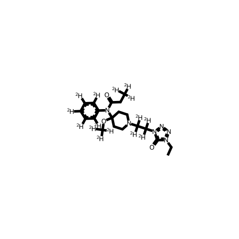 [2H]c1c([2H])c([2H])c(N(C(=O)CC([2H])([2H])[2H])C2(OC([2H])([2H])[2H])CCN(C([2H])([2H])C([2H])([2H])n3nnn(CC)c3=O)CC2)c([2H])c1[2H]